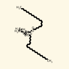 CCCCCCCCCCCCCCCC/C=C\C/C=C\CCCCC(=O)OC[C@H](COP(=O)(O)OCC[N+](C)(C)C)OC(=O)CCCC/C=C\C/C=C\CCCCCCCCCCCCCCCC